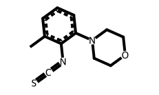 Cc1cccc(N2CCOCC2)c1N=C=S